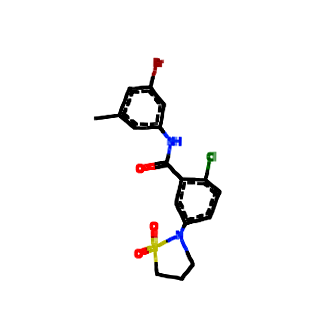 Cc1cc(Br)cc(NC(=O)c2cc(N3CCCS3(=O)=O)ccc2Cl)c1